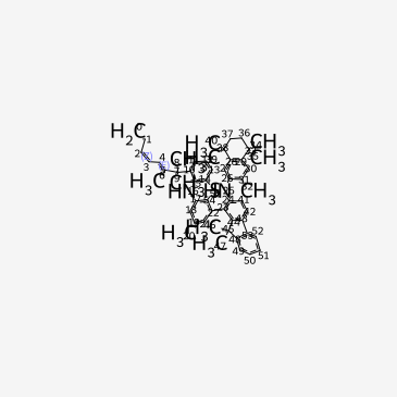 C=C/C=C\C=C(/C)C(C)(C)c1cccc2c1Nc1cc(C)cc(-c3c(Nc4cc5c(cc4C)C(C)(C)CCC5(C)C)ccc4c3C(C)(C)c3ccccc3-4)c1S2